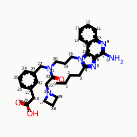 CCCCc1nc2c(N)nc3ccccc3c2n1CCCN(Cc1cccc(CC(=O)O)c1)C(=O)CN1CCC1